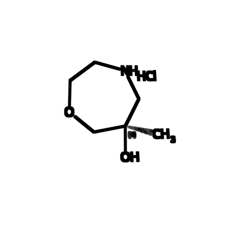 C[C@@]1(O)CNCCOC1.Cl